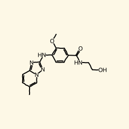 COc1cc(C(=O)NCCO)ccc1Nc1nc2ccc(C)cn2n1